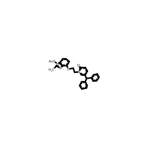 CC(=O)On1c(C)nc2c(OCCn3cc(C(c4ccccc4)c4ccccc4)ccc3=O)cccc21